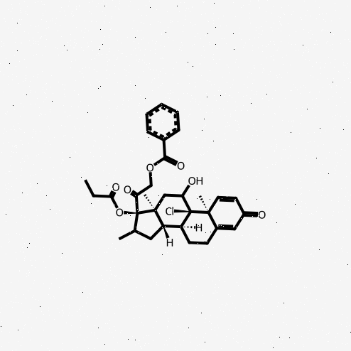 CCC(=O)O[C@]1(C(=O)COC(=O)c2ccccc2)C(C)C[C@H]2[C@@H]3CCC4=CC(=O)C=C[C@]4(C)[C@@]3(Cl)C(O)C[C@@]21C